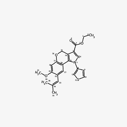 CCOC(=O)c1nn(-c2ccsc2)c2c1COc1cc(OC)c(C=C(C)C)cc1-2